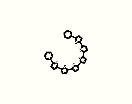 c1ccc(-c2ccc(-c3ccc(-c4ccc(-c5ccc(-c6ccc(-c7ccc(-c8ccccc8)s7)s6)s5)s4)s3)s2)cc1